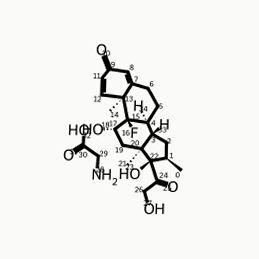 C[C@@H]1C[C@H]2[C@@H]3CCC4=CC(=O)C=C[C@]4(C)[C@@]3(F)[C@@H](O)C[C@]2(C)[C@@]1(O)C(=O)CO.NCC(=O)O